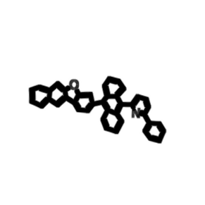 c1ccc(-c2cccc(-c3c4ccccc4c(-c4ccc5c(c4)oc4cc6ccccc6cc45)c4ccccc34)n2)cc1